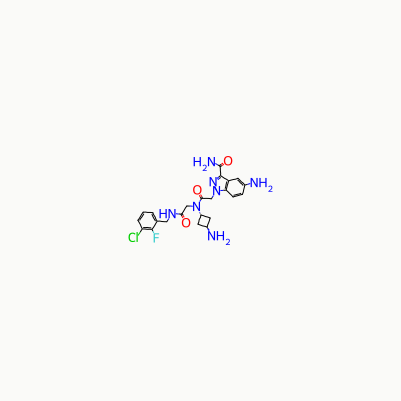 NC(=O)c1nn(CC(=O)N(CC(=O)NCc2cccc(Cl)c2F)[C@H]2C[C@H](N)C2)c2ccc(N)cc12